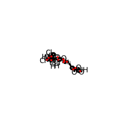 COc1cc(C(=O)N2CCC[C@@]3(C[C@H]3C#Cc3ccc4c(c3)CN(C3CCC(=O)NC3=O)C4=O)C2)ccc1NC(=O)[C@@H]1N[C@@H](CC(C)(C)C)[C@@]2(CNc3cc(Cl)ccc32)[C@H]1c1cccc(Cl)c1F